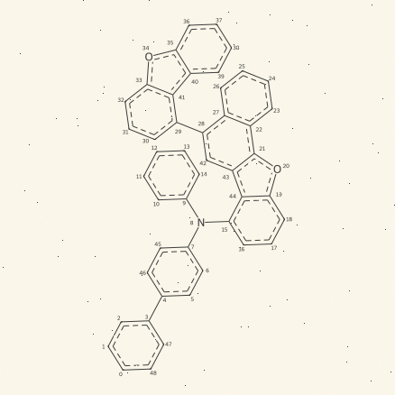 c1ccc(-c2ccc(N(c3ccccc3)c3cccc4oc5c6ccccc6c(-c6cccc7oc8ccccc8c67)cc5c34)cc2)cc1